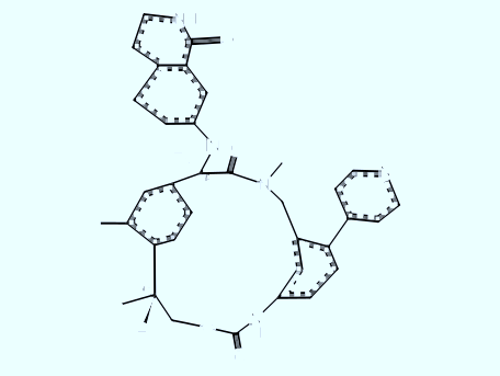 Cc1cc2ccc1[C@@H](C)COC(=O)Nc1ccc(-c3ccncc3)c(c1)CN(C)C(=O)[C@@H]2Nc1ccc2cc[nH]c(=O)c2c1